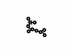 c1ccc(-c2nc(-c3ccccc3)nc(-c3cccc(-n4c5ccccc5c5cc(-c6ccc(-c7ccc8c(c7)c7ccccc7n8-c7ccccc7)cc6)ccc54)c3)n2)cc1